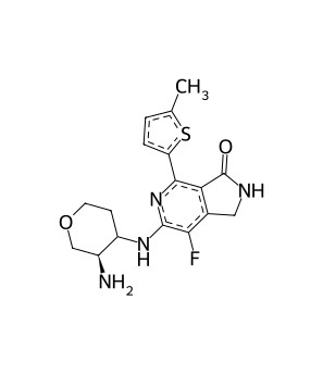 Cc1ccc(-c2nc(NC3CCOC[C@@H]3N)c(F)c3c2C(=O)NC3)s1